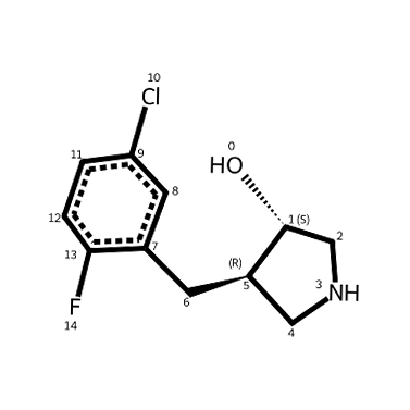 O[C@@H]1CNC[C@H]1Cc1cc(Cl)ccc1F